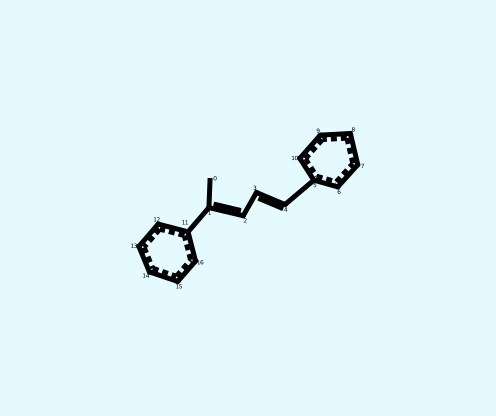 C/C(=C\C=C\c1ccccc1)c1ccccc1